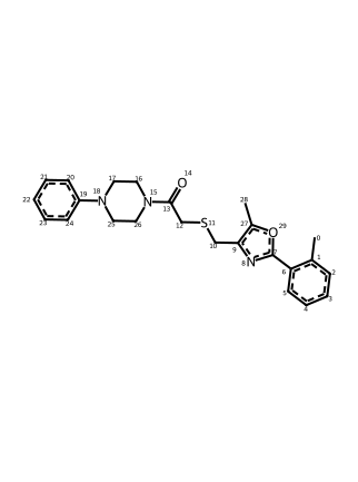 Cc1ccccc1-c1nc(CSCC(=O)N2CCN(c3ccccc3)CC2)c(C)o1